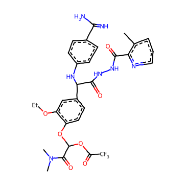 CCOc1cc(C(Nc2ccc(C(=N)N)cc2)C(=O)NNC(=O)c2ncccc2C)ccc1OC(OC(=O)C(F)(F)F)C(=O)N(C)C